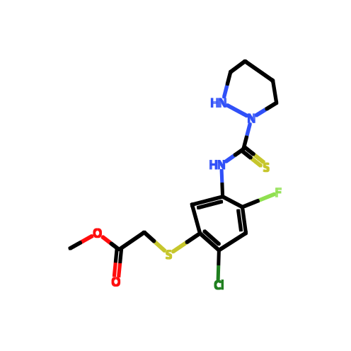 COC(=O)CSc1cc(NC(=S)N2CCCCN2)c(F)cc1Cl